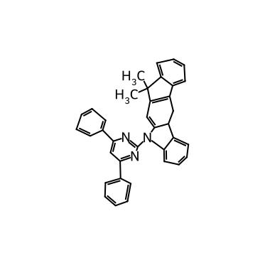 CC1(C)C2=C(CC3C(=C2)N(c2nc(-c4ccccc4)cc(-c4ccccc4)n2)c2ccccc23)c2ccccc21